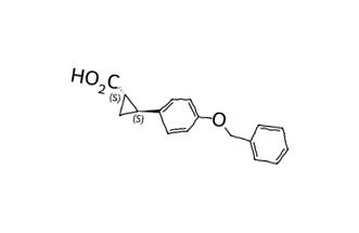 O=C(O)[C@H]1C[C@@H]1c1ccc(OCc2ccccc2)cc1